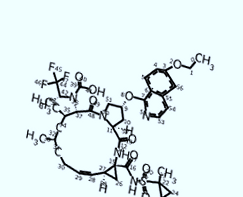 CCOc1ccc2c(O[C@@H]3C[C@H]4C(=O)N[C@]5(C(=O)NS(=O)(=O)C6(C)CC6)C[C@H]5/C=C\CC[C@@H](C)C[C@@H](C)[C@H](N(C(=O)O)[C@H](C)C(F)(F)F)C(=O)N4C3)nccc2c1